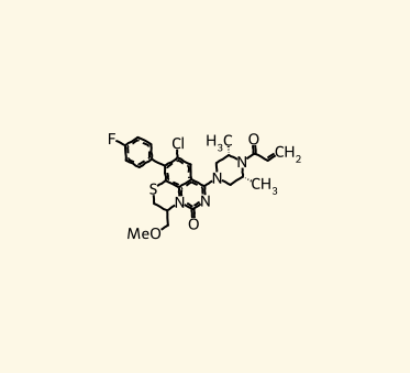 C=CC(=O)N1[C@H](C)CN(c2nc(=O)n3c4c(c(-c5ccc(F)cc5)c(Cl)cc24)SCC3COC)C[C@@H]1C